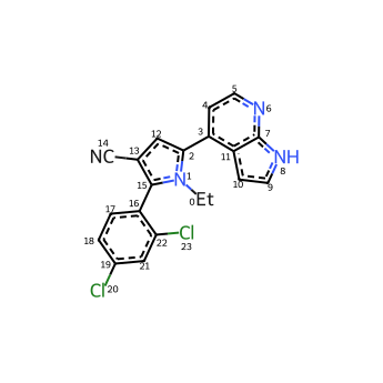 CCn1c(-c2ccnc3[nH]ccc23)cc(C#N)c1-c1ccc(Cl)cc1Cl